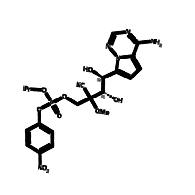 COC(C#N)(COP(=O)(Oc1ccc([N+](=O)[O-])cc1)OC(C)C)[C@@H](O)[C@@H](O)c1ccc2c(N)ncnn12